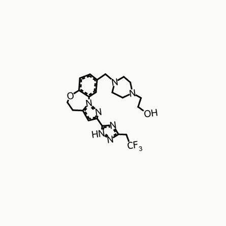 OCCN1CCN(Cc2ccc3c(c2)-n2nc(-c4nc(CC(F)(F)F)n[nH]4)cc2CCO3)CC1